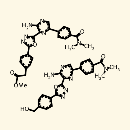 CN(C)C(=O)c1ccc(-c2cnc(N)c(-c3nnc(-c4ccc(CO)cc4)o3)n2)cc1.COC(=O)Cc1ccc(-c2nnc(-c3nc(-c4ccc(C(=O)N(C)C)cc4)cnc3N)o2)cc1